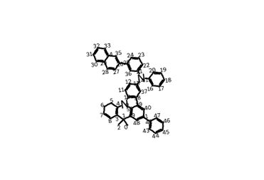 CC1(C)C2=C(CCC=C2)n2c3ccc(N(c4ccccc4)c4cccc(-c5ccc6ccccc6c5)c4)cc3c3cc(-c4ccccc4)cc1c32